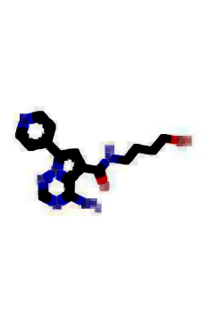 Nc1ncnn2c(-c3ccncc3)cc(C(=O)NCCCCO)c12